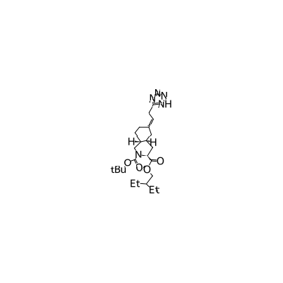 CCC(CC)COC(=O)[C@@H]1C[C@H]2C/C(=C/Cc3nnn[nH]3)CC[C@H]2CN1C(=O)OC(C)(C)C